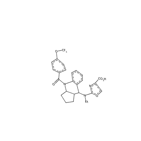 CCN(c1nc(C(=O)O)co1)C1c2ccccc2N(C(=O)c2ccc(OC(F)(F)F)cc2)C2CCCC12